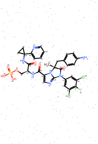 C[C@@]1(Cc2ccc(N)cc2)C(=O)N(c2cc(Cl)c(F)c(Cl)c2)c2ncc(C(=O)N[C@@H](COP(=O)(O)O)C(=O)NC3(c4ccccn4)CC3)n21